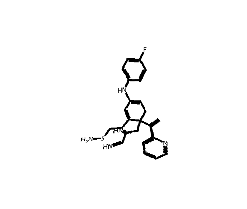 C=C(c1ccccn1)C1(CC(=N)C=N)CC=C(Nc2ccc(F)cc2)C=C1CCSN